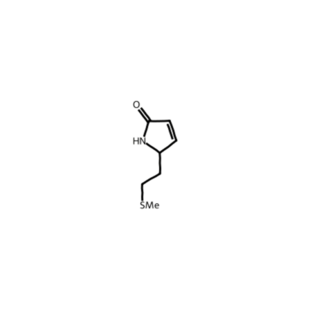 CSCCC1C=CC(=O)N1